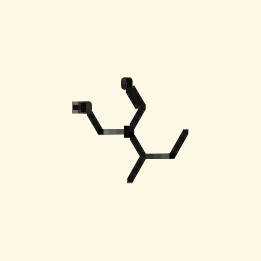 CCC(C)N(C=O)CO